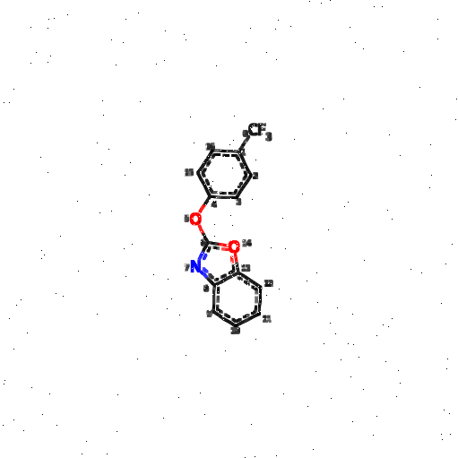 FC(F)(F)c1ccc(Oc2nc3ccccc3o2)cc1